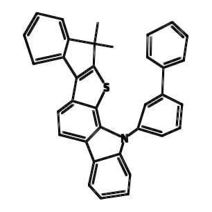 CC1(C)c2ccccc2-c2c1sc1c2ccc2c3ccccc3n(-c3cccc(-c4ccccc4)c3)c21